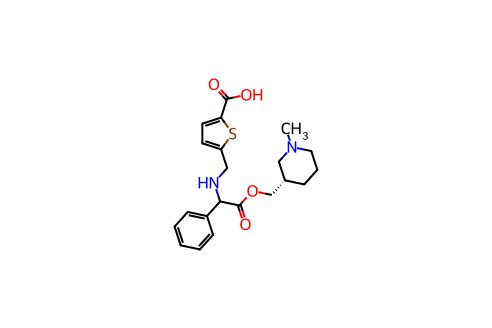 CN1CCC[C@H](COC(=O)C(NCc2ccc(C(=O)O)s2)c2ccccc2)C1